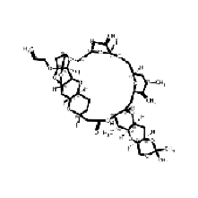 C=CCO[C@]12C[C@]34CC[C@H]5CC(=C)[C@H](CC[C@H]6C[C@@H](C)C(=C)C(C[C@@H]7O[C@H]8C[C@H]9OC(C)(C)OC[C@H]9O[C@H]8[C@H](C)[C@H]7OC(=O)C[C@H]7CC[C@@H]8OC([C@@H](O1)C(O3)[C@H]8O7)[C@@H]2O4)O6)O5